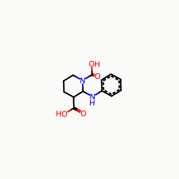 O=C(O)C1CCCN(C(=O)O)C1Nc1ccccc1